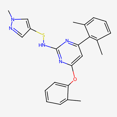 Cc1ccccc1Oc1cc(-c2c(C)cccc2C)nc(NSc2cnn(C)c2)n1